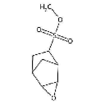 COS(=O)(=O)C1CC2CC1C1OC21